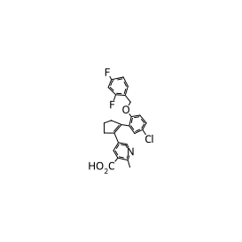 Cc1ncc(C2=C(c3cc(Cl)ccc3OCc3ccc(F)cc3F)CCC2)cc1C(=O)O